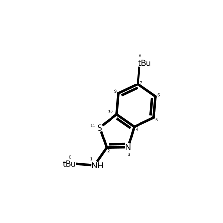 CC(C)(C)Nc1nc2ccc(C(C)(C)C)cc2s1